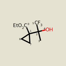 CCOC(=O)C1(C(C)(O)C(F)(F)F)CC1